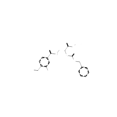 CCc1ccc(C(=O)NC[C@@H](NC(=O)OCc2ccccc2)C(=O)OC)cc1F